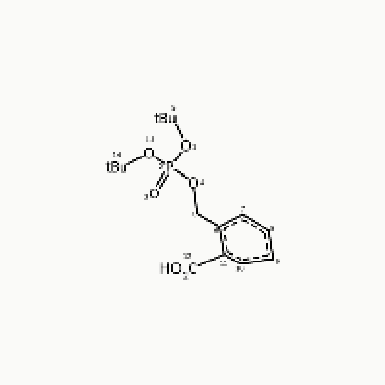 CC(C)(C)OP(=O)(OCc1ccccc1C(=O)O)OC(C)(C)C